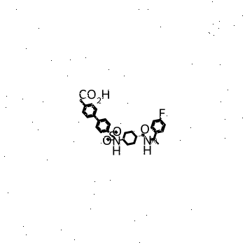 C[C@@H](NC(=O)[C@H]1CC[C@H](NS(=O)(=O)c2ccc(-c3ccc(CC(=O)O)cc3)cc2)CC1)c1ccc(F)cc1